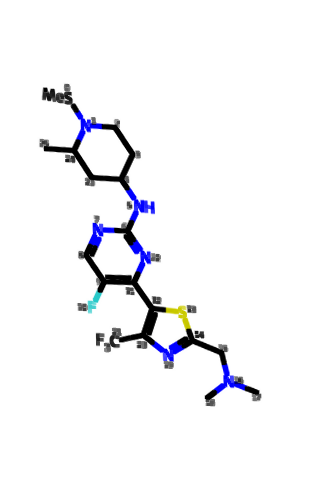 CSN1CCC(Nc2ncc(F)c(-c3sc(CN(C)C)nc3C(F)(F)F)n2)CC1C